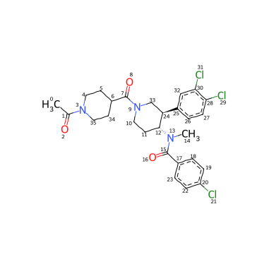 CC(=O)N1CCC(C(=O)N2CC[C@@H](N(C)C(=O)c3ccc(Cl)cc3)[C@H](c3ccc(Cl)c(Cl)c3)C2)CC1